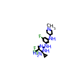 CN1CCC(Nc2cc(F)cc(NC3=NC=C(C(F)(F)F)C(N)(C4CC4)N3)c2)CC1